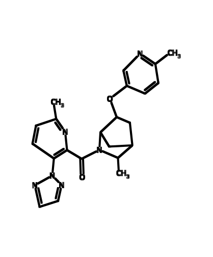 Cc1ccc(OC2CC3CC2N(C(=O)c2nc(C)ccc2-n2nccn2)C3C)cn1